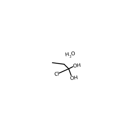 CCC(O)(O)Cl.O